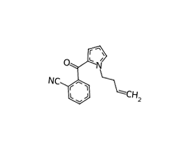 C=CCCn1cccc1C(=O)c1ccccc1C#N